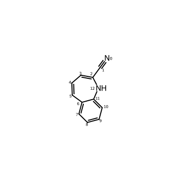 N#CC1=CC=Cc2ccccc2N1